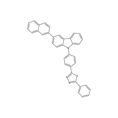 c1ccc(-c2nnc(-c3ccc(-n4c5ccccc5c5cc(-c6ccc7ccccc7c6)ccc54)cc3)o2)cc1